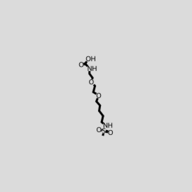 CS(=O)(=O)NCCCCCOCCOCCNC(=O)O